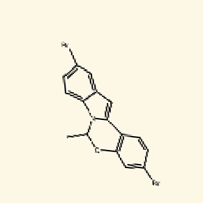 CC1Oc2cc(Br)ccc2-c2cc3cc(Br)ccc3n21